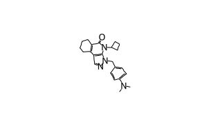 CN(C)c1ccc(Cn2ncc3c4c(c(=O)n(C5CCC5)c32)CCCC4)cc1